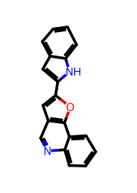 c1ccc2[nH]c(-c3cc4cnc5ccccc5c4o3)cc2c1